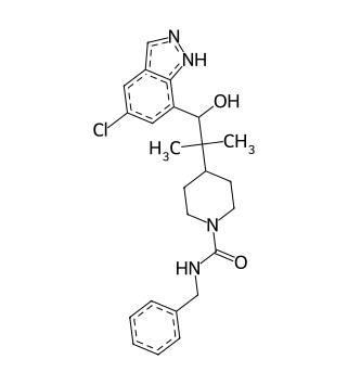 CC(C)(C1CCN(C(=O)NCc2ccccc2)CC1)C(O)c1cc(Cl)cc2cn[nH]c12